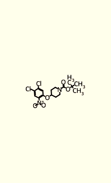 CC(C)(C)OC(=O)N1CCC(Oc2cc(Cl)c(Cl)cc2[N+](=O)[O-])CC1